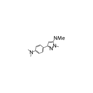 CNc1cc(-c2ccc(N(C)C)cc2)nn1C